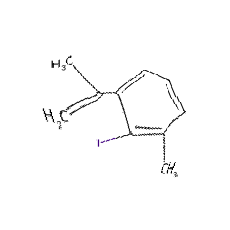 C=C(C)c1cccc(C)c1I